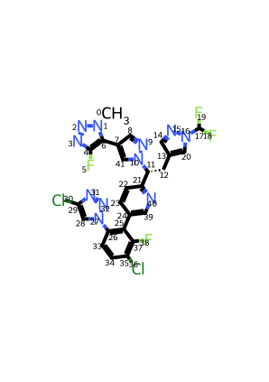 Cn1nnc(F)c1-c1cnn([C@H](Cc2cnn(C(F)F)c2)c2ccc(-c3c(-n4cc(Cl)nn4)ccc(Cl)c3F)cn2)c1